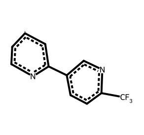 FC(F)(F)c1ccc(-c2c[c]ccn2)cn1